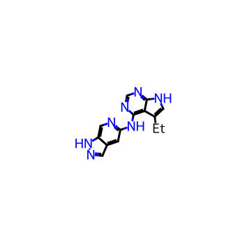 CCc1c[nH]c2ncnc(Nc3cc4cn[nH]c4cn3)c12